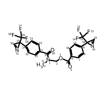 CN(COC(=O)c1ccc(C2(C(F)(F)F)C=N2)cc1)C(=O)c1ccc(C2(C(F)(F)F)C=N2)cc1